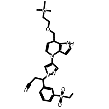 CCS(=O)(=O)c1cccc(C(CC#N)n2cc(N3C=CC(COCC[Si](C)(C)C)c4[nH]ccc43)cn2)c1